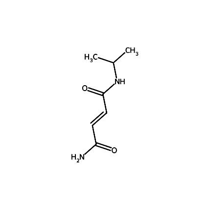 CC(C)NC(=O)C=CC(N)=O